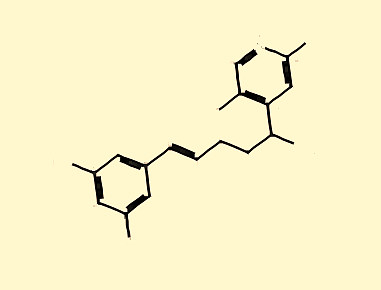 CCOC(=O)C(CCC=Cc1cc(C(F)(F)F)cc(C(F)(F)F)c1)c1cc(C(F)(F)F)ncc1Cl